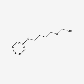 CC(C)(C)COCCCCSc1ccccc1